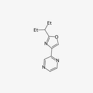 CCC(CC)c1nc(-c2cnccn2)co1